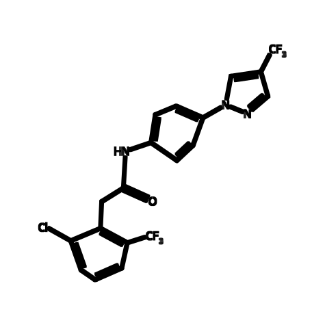 O=C(Cc1c(Cl)cccc1C(F)(F)F)Nc1ccc(-n2cc(C(F)(F)F)cn2)cc1